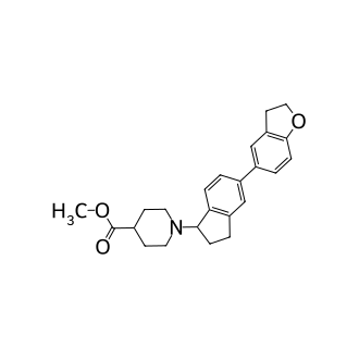 COC(=O)C1CCN(C2CCc3cc(-c4ccc5c(c4)CCO5)ccc32)CC1